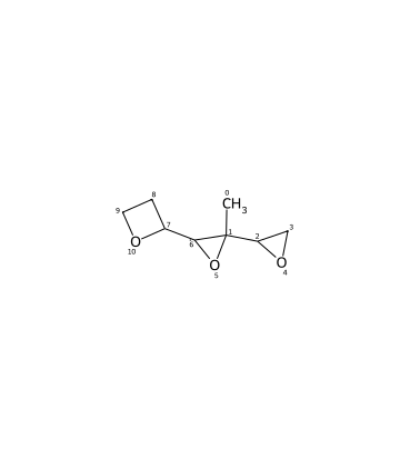 CC1(C2CO2)O[C]1C1CCO1